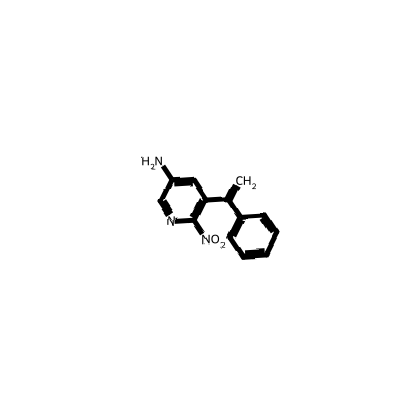 C=C(c1ccccc1)c1cc(N)cnc1[N+](=O)[O-]